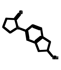 CC(C)(C)C1Cc2ccc(N3CCCC3=O)cc2C1